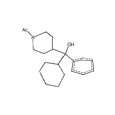 CC(=O)N1CCC(C(O)(c2ccccc2)C2CCCCC2)CC1